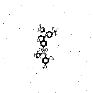 COc1ccc(CN(c2ncns2)S(=O)(=O)c2ccc3c(c2)OCCC3N2CC[C@@H](C(F)(F)F)C[C@H]2c2cnn(C)c2)c(OC)c1